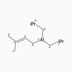 CC(C)=C[CH2][Al]([CH2]C(C)C)[CH2]C(C)C